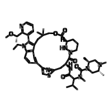 CCn1c(-c2cccnc2[C@H](C)OC)c2c3cc(ccc31)-c1csc(n1)C[C@H](NC(=O)C(C(C)C)N(C)C(=O)N1C[C@@H](C)N(C)C[C@@H]1C)C(=O)N1CCC[C@H](N1)C(=O)OCC(C)(C)C2